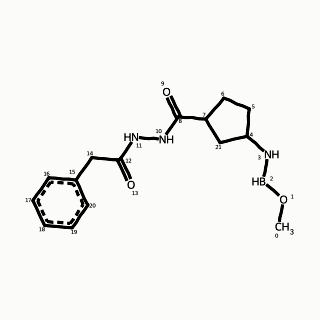 COBNC1CCC(C(=O)NNC(=O)Cc2ccccc2)C1